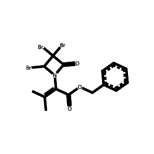 CC(C)=C(C(=O)OCc1ccccc1)N1C(=O)C(Br)(Br)C1Br